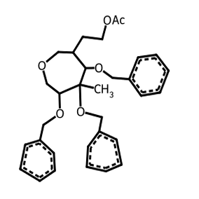 CC(=O)OCCC1COCC(OCc2ccccc2)C(C)(OCc2ccccc2)C1OCc1ccccc1